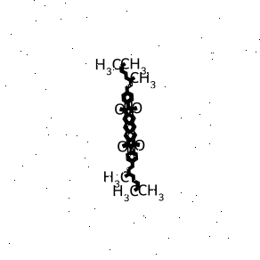 CC(C)=CCCC(C)CCc1ccc(-n2c(=O)c3cc4cc5cc6c(=O)n(-c7ccc(CCC(C)CCC=C(C)C)cc7)c(=O)c6cc5cc4cc3c2=O)cc1